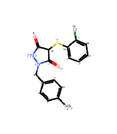 O=C1NN(Cc2ccc([N+](=O)[O-])cc2)C(=O)C1Sc1ccccc1Cl